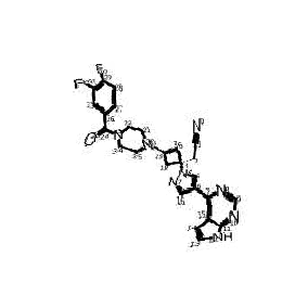 N#CC[C@]1(n2cc(-c3ncnc4[nH]ccc34)cn2)C[C@@H](N2CCN(C(=O)c3ccc(F)c(F)c3)CC2)C1